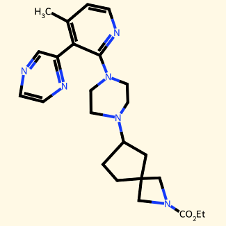 CCOC(=O)N1CC2(CCC(N3CCN(c4nccc(C)c4-c4cnccn4)CC3)C2)C1